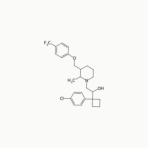 CC1C(COc2ccc(C(F)(F)F)cc2)CCCN1CC(O)C1(c2ccc(Cl)cc2)CCC1